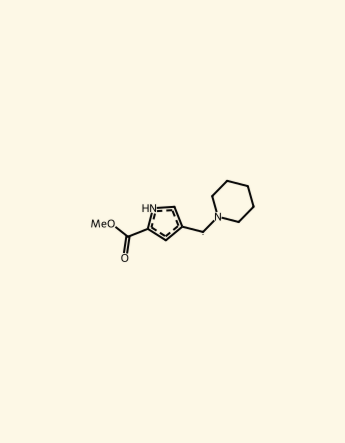 COC(=O)c1cc([CH]N2CCCCC2)c[nH]1